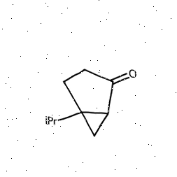 CC(C)C12CCC(=O)C1C2